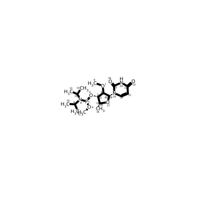 COC1[C@@H](OP(OC)N(C(C)C)C(C)C)[C@@H](C)O[C@H]1n1ccc(=O)[nH]c1=O